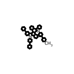 CC1C=CC(c2ccc(-n3c4ccccc4c4c5ccccc5c5c6c7cc(-c8ccccc8)ccc7n(-c7ccc(-c8ccccc8)cc7)c6c6ccccc6c5c43)cc2)=CC1